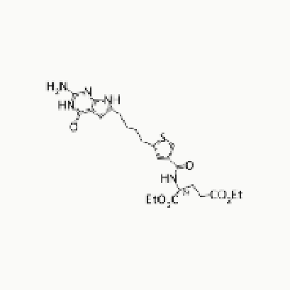 CCOC(=O)CC[C@H](NC(=O)c1csc(CCCCc2cc3c(=O)[nH]c(N)nc3[nH]2)c1)C(=O)OCC